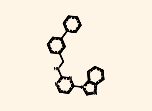 c1ccc(-c2cccc(CNc3nccc(-n4cnc5ccccc54)n3)c2)cc1